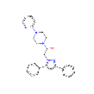 O=C(Cn1nc(-c2ccccc2)cc1-c1ccccc1)N1CCN(c2ccccn2)CC1